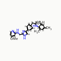 COc1ccnc(NCc2nc(-c3ccc(CC(Nc4c(C)cc(C)cc4C)C(=O)O)cc3)c[nH]2)c1